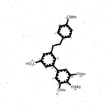 COc1ccc(CCc2cc(C(=O)O)cc(-c3cc(OC)c(OC)c(OC)c3)c2)cc1